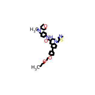 CCCCOCCOc1ccc(-c2ccc3c(c2)C=C(C(=O)Nc2ccc(CN(C)C4CCOCC4)cc2)CCN3Cc2cncs2)cc1